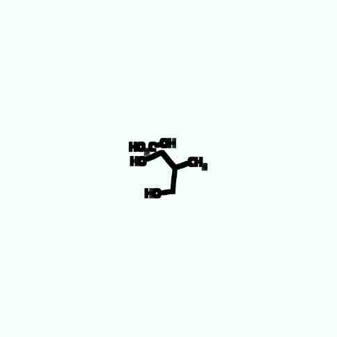 CC(CO)CO.O=C(O)O